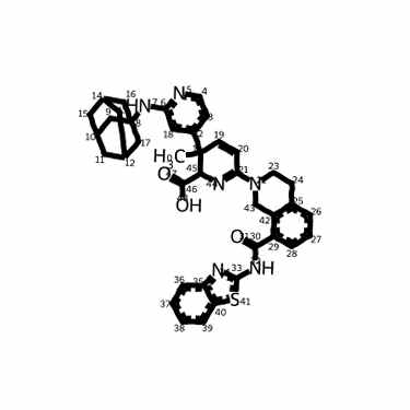 CC1(c2ccnc(NC34CC5CC(CC(C5)C3)C4)c2)C=CC(N2CCc3cccc(C(=O)Nc4nc5ccccc5s4)c3C2)=NC1C(=O)O